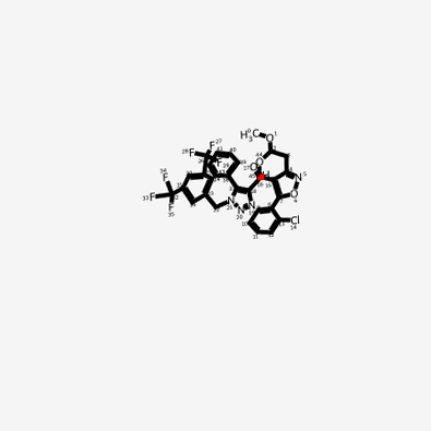 COC(Cc1noc(-c2ccccc2Cl)c1C(=O)c1nnn(Cc2cc(C(F)(F)F)cc(C(F)(F)F)c2)c1-c1ccccc1)OC